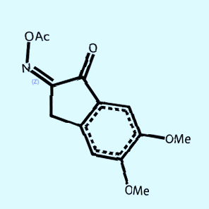 COc1cc2c(cc1OC)C(=O)/C(=N\OC(C)=O)C2